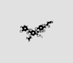 Cn1c(Nc2c(Cl)ccc(CNC(=O)CC#N)c2Cl)nc2cc(C(=O)Nc3ccc(F)c(Cl)c3)c(OCC(F)F)cc21